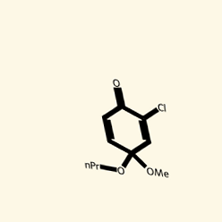 CCCOC1(OC)C=CC(=O)C(Cl)=C1